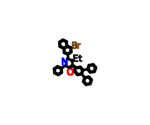 CCC1c2c(oc3cc(-c4ccccc4)c(-c4ccccc4)cc23)C(c2ccccc2)=NC1c1cc(Br)c2ccccc2c1